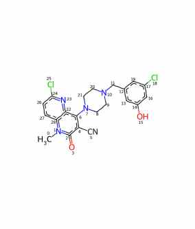 Cn1c(=O)c(C#N)c(N2CCN(Cc3cc(O)cc(Cl)c3)CC2)c2nc(Cl)ccc21